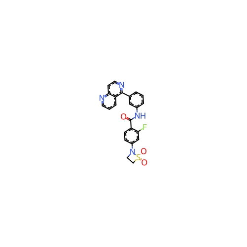 O=C(Nc1cccc(-c2nccc3ncccc23)c1)c1ccc(N2CCS2(=O)=O)cc1F